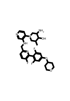 CC1CN(c2ccncc2NCc2ccc(F)c(-c3c(F)cc(OC4CCOCC4)cc3F)n2)CC(N)C1O